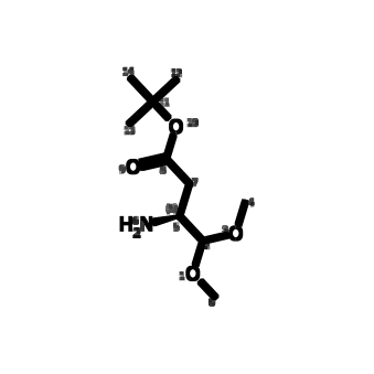 COC(OC)[C@@H](N)CC(=O)OC(C)(C)C